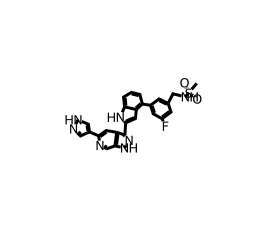 CS(=O)(=O)NCc1cc(F)cc(-c2cccc3[nH]c(-c4n[nH]c5cnc(-c6cn[nH]c6)cc45)cc23)c1